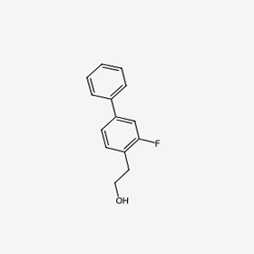 OCCc1ccc(-c2ccccc2)cc1F